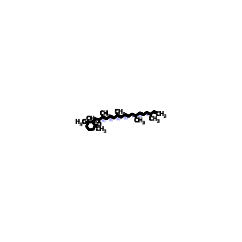 C=C/C(C)=C/C=C/C(C)=C/C=C/C=C(C)/C=C/C=C(\C)C1C=C2C(C)(C)CCCC2(C)O1